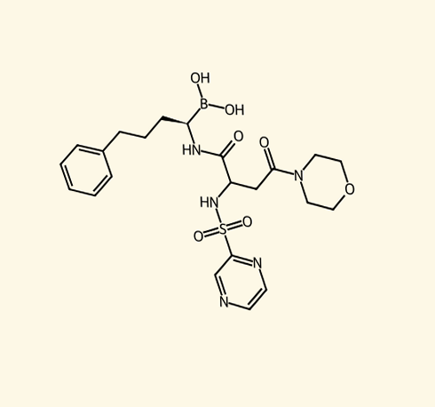 O=C(N[C@@H](CCCc1ccccc1)B(O)O)C(CC(=O)N1CCOCC1)NS(=O)(=O)c1cnccn1